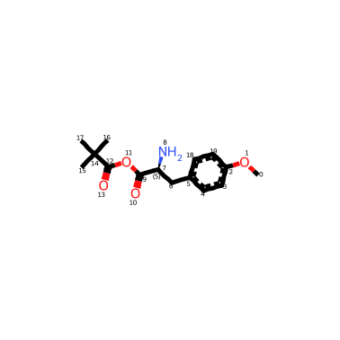 COc1ccc(C[C@H](N)C(=O)OC(=O)C(C)(C)C)cc1